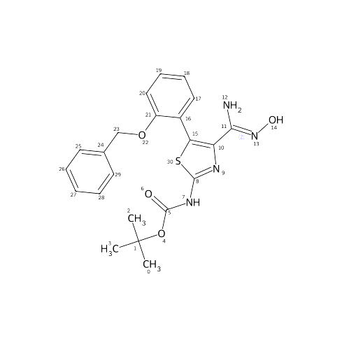 CC(C)(C)OC(=O)Nc1nc(/C(N)=N/O)c(-c2ccccc2OCc2ccccc2)s1